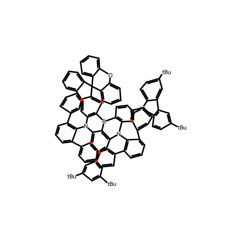 CC(C)(C)c1cc(-c2cc3c4c(c2)N(c2c(-c5ccccc5)cccc2-c2ccccc2)c2cc5c(cc2B4c2ccc(-n4c6ccc(C(C)(C)C)cc6c6cc(C(C)(C)C)ccc64)cc2N3c2c(-c3ccccc3)cccc2-c2ccccc2)C2(c3ccccc3Oc3ccccc32)c2ccccc2-5)cc(C(C)(C)C)c1